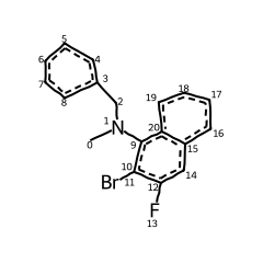 CN(Cc1ccccc1)c1c(Br)c(F)cc2ccccc12